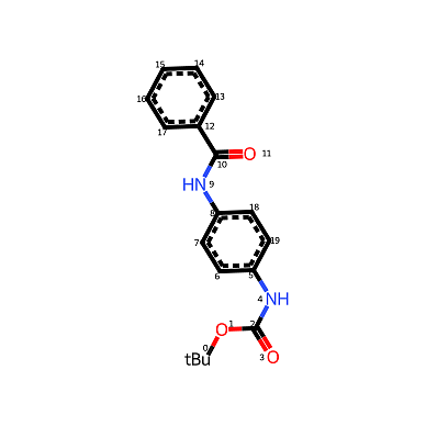 CC(C)(C)OC(=O)Nc1ccc(NC(=O)c2ccccc2)cc1